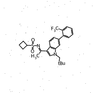 CC(=NS(=O)(=O)C1CCC1)c1cn(CC(C)(C)C)c2cc(-c3ccccc3C(F)(F)F)ccc12